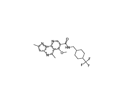 COc1c(C(=O)NCC2CCC(C(F)(F)F)CC2)cnc2c1c(C)nc1cc(C)nn12